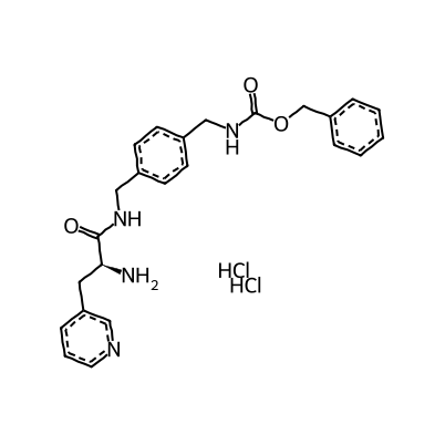 Cl.Cl.N[C@@H](Cc1cccnc1)C(=O)NCc1ccc(CNC(=O)OCc2ccccc2)cc1